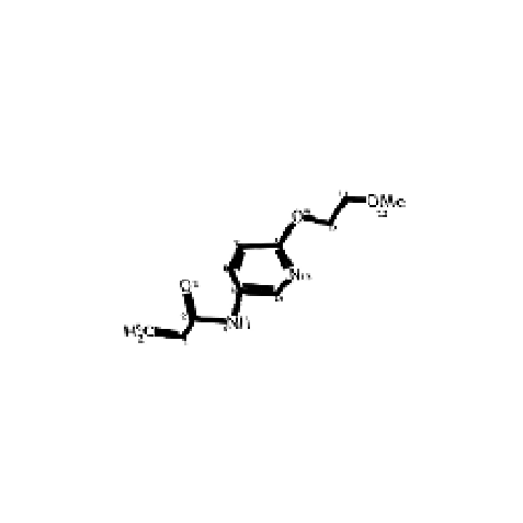 C=CC(=O)Nc1ccc(OCCOC)nc1